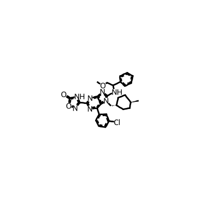 COCC(Nc1nc2nc(-c3noc(=O)[nH]3)nc(-c3cccc(Cl)c3)c2n1C[C@H]1CC[C@H](C)CC1)c1ccccc1